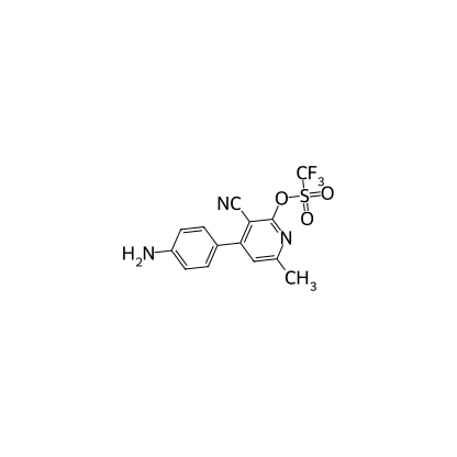 Cc1cc(-c2ccc(N)cc2)c(C#N)c(OS(=O)(=O)C(F)(F)F)n1